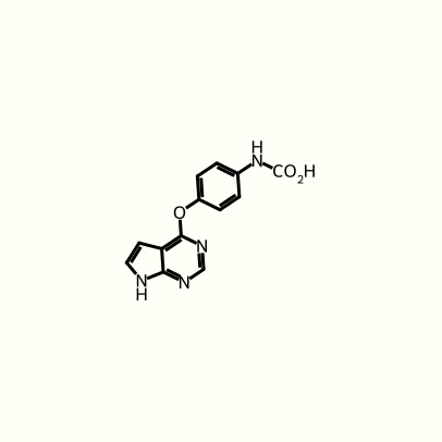 O=C(O)Nc1ccc(Oc2ncnc3[nH]ccc23)cc1